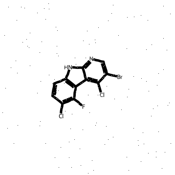 Fc1c(Cl)c[c]c2[nH]c3ncc(Br)c(Cl)c3c12